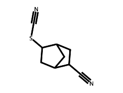 N#CSC1CC2CC1CC2C#N